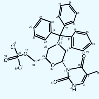 Cc1c[nH]c(=O)n([C@H]2CN(C(c3ccccc3)(c3ccccc3)c3ccccc3)C[C@@H](COP(=O)(Cl)Cl)O2)c1=O